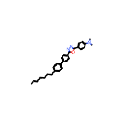 CCCCCCCc1ccc(-c2ccc(-c3nnc(-c4ccc(N(C)C)cc4)o3)cc2)cc1